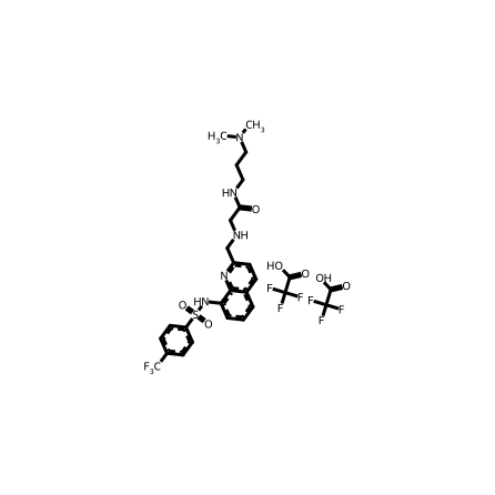 CN(C)CCCNC(=O)CNCc1ccc2cccc(NS(=O)(=O)c3ccc(C(F)(F)F)cc3)c2n1.O=C(O)C(F)(F)F.O=C(O)C(F)(F)F